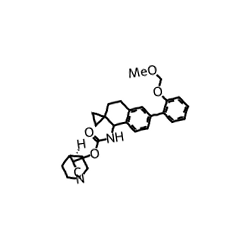 COCOc1ccccc1-c1ccc2c(c1)CCC1(CC1)C2NC(=O)O[C@H]1CN2CCC1CC2